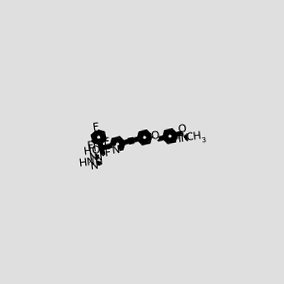 CNC(=O)c1ccc(COc2ccc(C#Cc3ccc(C(F)(F)C(O)(CN4C=NNN4)c4ccc(F)cc4F)nc3)cc2)cc1